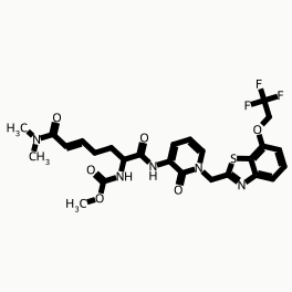 COC(=O)NC(CC/C=C/C(=O)N(C)C)C(=O)Nc1cccn(Cc2nc3cccc(OCC(F)(F)F)c3s2)c1=O